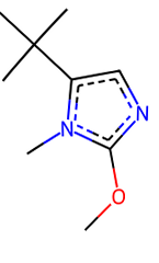 COc1ncc(C(C)(C)C)n1C